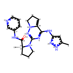 Cc1cc(NC2=NC(N3CCC[C@@]3(C)C(=O)Nc3cccnc3)=NN3CCC=C23)n[nH]1